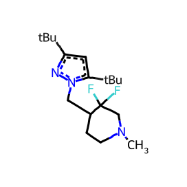 CN1CCC(Cn2nc(C(C)(C)C)cc2C(C)(C)C)C(F)(F)C1